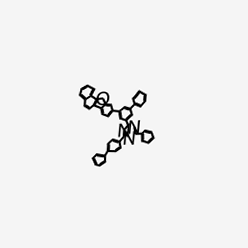 c1ccc(-c2ccc(-c3nc(-c4ccccc4)nc(-c4cc(-c5ccccc5)cc(-c5ccc6c(c5)oc5c7ccccc7ccc65)c4)n3)cc2)cc1